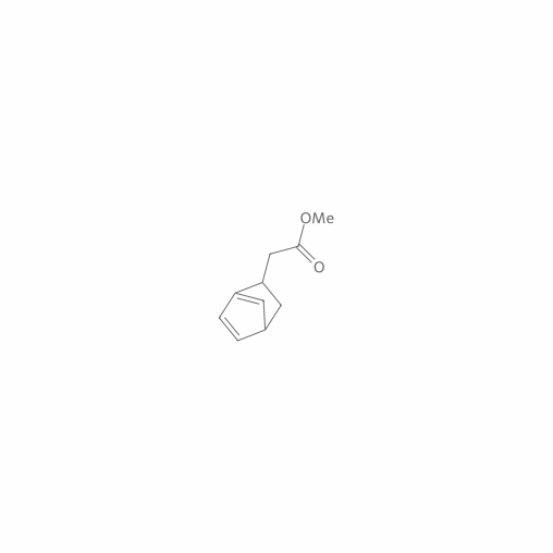 COC(=O)CC1CC2C=CC1=C2